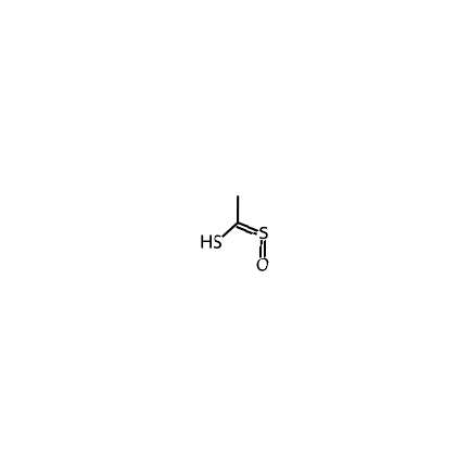 CC(S)=S=O